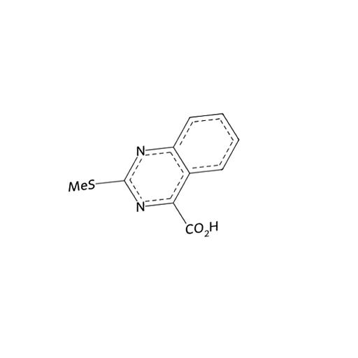 CSc1nc(C(=O)O)c2ccccc2n1